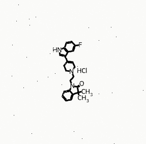 CC1(C)C(=O)N(CCN2CC=C(c3c[nH]c4ccc(F)cc34)CC2)c2ccccc21.Cl